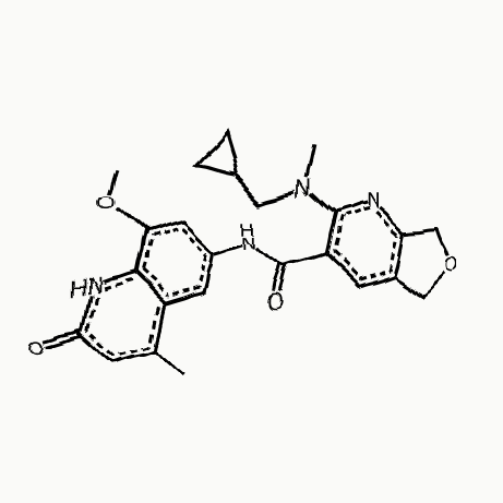 COc1cc(NC(=O)c2cc3c(nc2N(C)CC2CC2)COC3)cc2c(C)cc(=O)[nH]c12